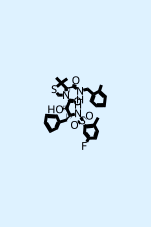 Cc1ccccc1CNC(=O)[C@H]1N(C(=O)[C@@H](O)[C@H](Cc2ccccc2)NS(=O)(=O)c2cc(F)ccc2C)CSC1(C)C